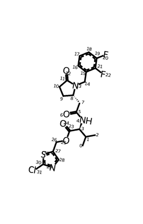 CC(C)[C@H](NC(=O)C[C@@H]1CCC(=O)N1Cc1cccc(F)c1F)C(=O)OCc1cnc(Cl)s1